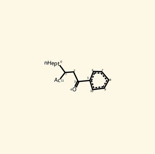 CCCCCCCC(CC(=O)c1ccccc1)C(C)=O